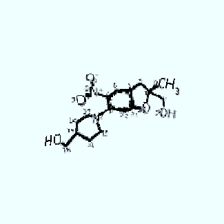 CC1(CO)Cc2cc([N+](=O)[O-])c(N3CCC(CO)CC3)cc2O1